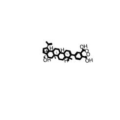 C=C(C)[C@@H]1CC[C@]2(CO)CC[C@]3(C)[C@H](CC[C@@H]4[C@@]5(C)CC=C(c6ccc(C(=O)O)c(C(=O)O)c6)C(C)(C)[C@@H]5CC[C@]43C)[C@@H]12